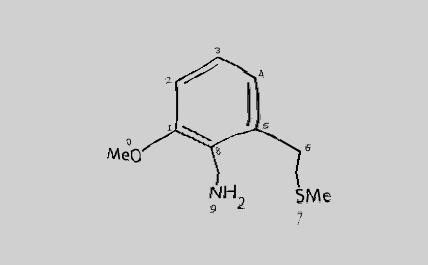 COc1cccc(CSC)c1N